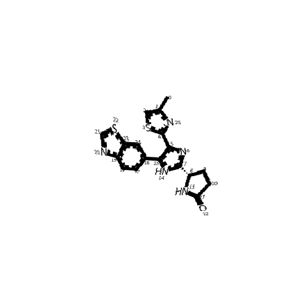 Cc1csc(-c2nc([C@@H]3CCC(=O)N3)[nH]c2-c2ccc3ncsc3c2)n1